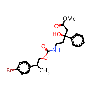 COC(=O)CC(O)(CCNC(=O)OC[C@@H](C)c1ccc(Br)cc1)c1ccccc1